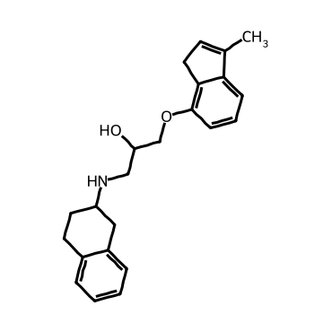 CC1=CCc2c(OCC(O)CNC3CCc4ccccc4C3)cccc21